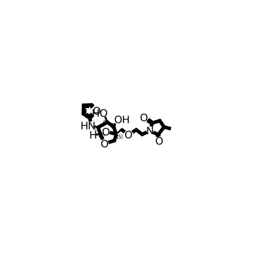 CC1CC(=O)N(CCOC[C@@]23CO[C@@H](O2)[C@@H](Nc2ccco2)[C@@H](O)[C@H]3O)C1=O